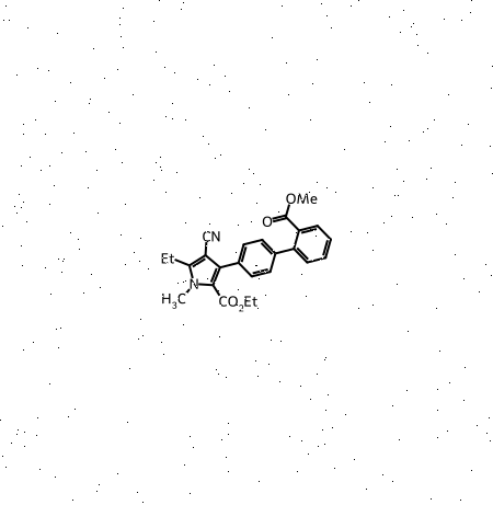 CCOC(=O)c1c(-c2ccc(-c3ccccc3C(=O)OC)cc2)c(C#N)c(CC)n1C